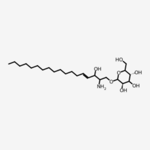 CCCCCCCCCCCCC/C=C/C(O)C(N)COC1OC(CO)[C@H](O)C(O)[C@H]1O